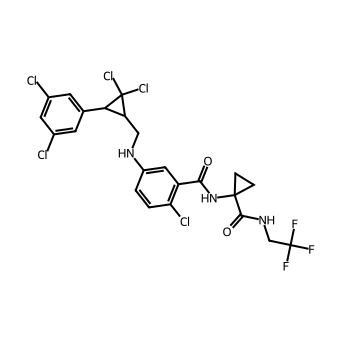 O=C(NC1(C(=O)NCC(F)(F)F)CC1)c1cc(NCC2C(c3cc(Cl)cc(Cl)c3)C2(Cl)Cl)ccc1Cl